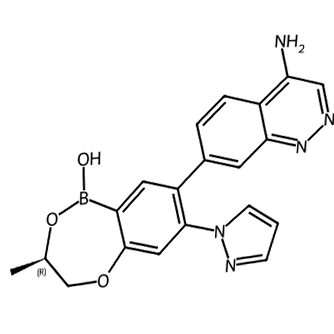 C[C@@H]1COc2cc(-n3cccn3)c(-c3ccc4c(N)cnnc4c3)cc2B(O)O1